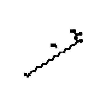 CCCCCCCCCCCCCCCCCC(=O)OC(=O)O.N